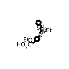 CCO/N=C(/COc1ccc(CC(OCC)C(=O)O)cc1)c1nc2ccccc2s1